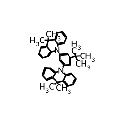 CC(C)(C)c1cc(N2c3ccccc3C(C)(C)c3ccccc32)cc(N2c3ccccc3C(C)(C)c3ccccc32)c1